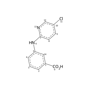 O=C(O)c1cccc(Nc2ccc(Cl)cn2)c1